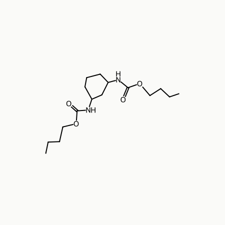 CCCCOC(=O)NC1CCCC(NC(=O)OCCCC)C1